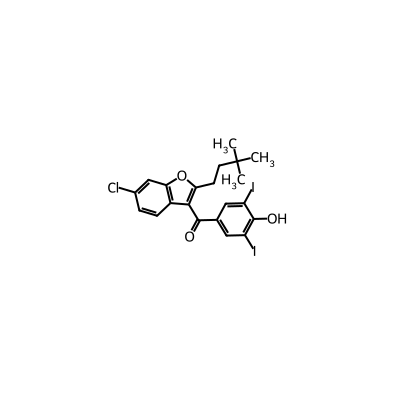 CC(C)(C)CCc1oc2cc(Cl)ccc2c1C(=O)c1cc(I)c(O)c(I)c1